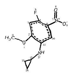 COc1cc(F)c([N+](=O)[O-])cc1NC1CC1